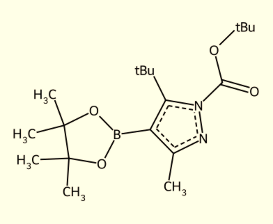 Cc1nn(C(=O)OC(C)(C)C)c(C(C)(C)C)c1B1OC(C)(C)C(C)(C)O1